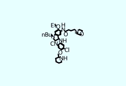 CCCCN1CC(C#N)C(Nc2ccc(OCC3CCCCN3)c(Cl)c2)c2cc(NC(=O)CCCN3CCOCC3)c(OCC)cc21